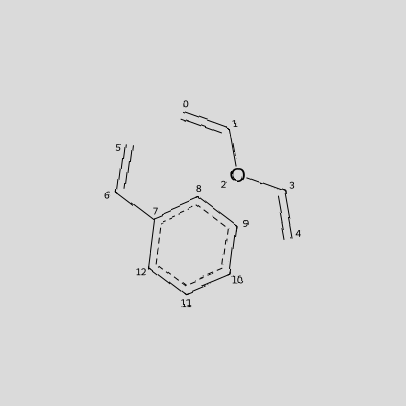 C=COC=C.C=Cc1ccccc1